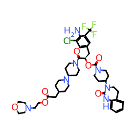 Nc1c(Cl)cc(C[C@@H](OC(=O)N2CCC(N3CCc4ccccc4NC3=O)CC2)C(=O)N2CCC(N3CCC(CC(=O)OCCN4CCOCC4)CC3)CC2)cc1C(F)(F)F